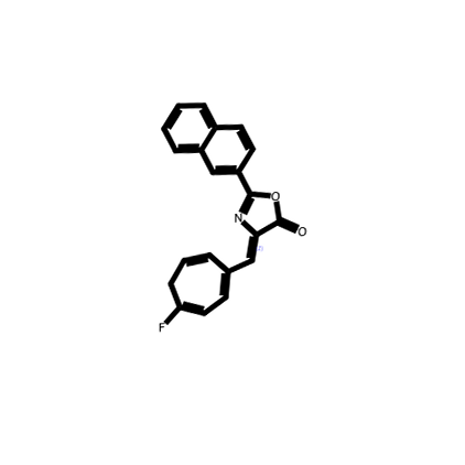 O=C1OC(c2ccc3ccccc3c2)=N/C1=C\C1=CC=C(F)CC=C1